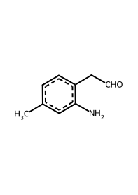 Cc1ccc(CC=O)c(N)c1